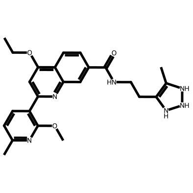 CCOc1cc(-c2ccc(C)nc2OC)nc2cc(C(=O)NCCC3=C(C)NNN3)ccc12